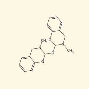 CN1Cc2ccccc2OC1OC1Oc2ccccc2CN1C